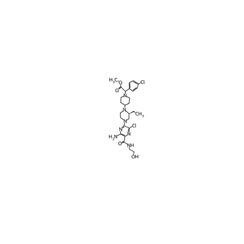 CC[C@H]1CN(c2nc(N)c(C(=O)NCCO)nc2Cl)CCN1C1CCN([C@@H](C(=O)OC)c2ccc(Cl)cc2)CC1